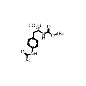 CC(=O)C(=O)Nc1ccc(C[C@H](NC(=O)OC(C)(C)C)C(=O)O)cc1